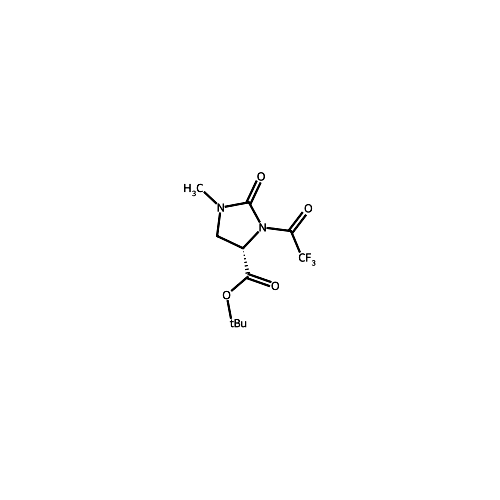 CN1C[C@@H](C(=O)OC(C)(C)C)N(C(=O)C(F)(F)F)C1=O